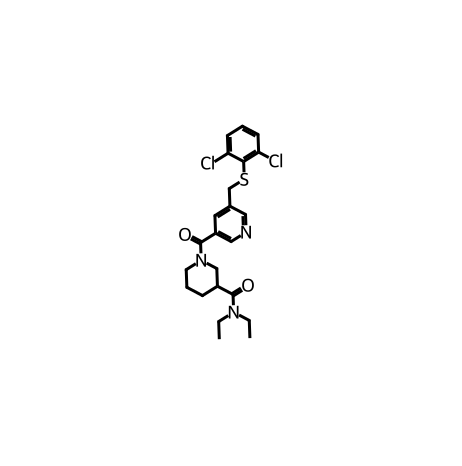 CCN(CC)C(=O)C1CCCN(C(=O)c2cncc(CSc3c(Cl)cccc3Cl)c2)C1